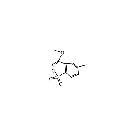 COC(=O)c1cc(C)ccc1S(=O)(=O)Cl